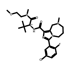 COCCN(C)C(=O)[C@@H](NC(=O)c1nc(-c2cc(Cl)ccc2F)n2c1CN(C)CCC2)C(C)(C)C